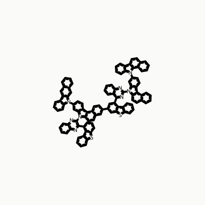 c1ccc2cc3c(cc2c1)c1ccccc1n3-c1ccc2c3c4ccc(-c5cc(-c6nc(-n7c8cc(-n9c%10ccccc%10c%10ccc%11ccccc%11c%109)ccc8c8c9ccccc9ccc87)nc7ccccc67)c6c(c5)sc5ccccc56)cc4ccc3n(-c3nc4ccccc4nc3-c3cccc4sc5ccccc5c34)c2c1